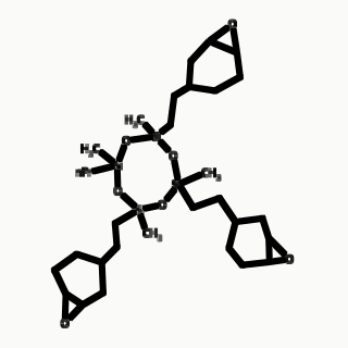 CCC[Si]1(C)O[Si](C)(CCC2CCC3OC3C2)O[Si](C)(CCC2CCC3OC3C2)O[Si](C)(CCC2CCC3OC3C2)O1